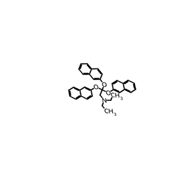 CCN(CC)CC(Oc1ccc2ccccc2c1)(Oc1ccc2ccccc2c1)Oc1ccc2ccccc2c1